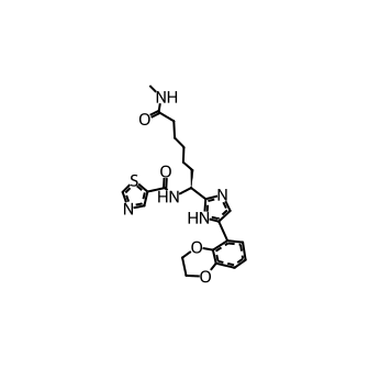 CNC(=O)CCCCC[C@H](NC(=O)c1cncs1)c1ncc(-c2cccc3c2OCCO3)[nH]1